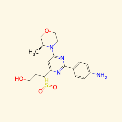 C[C@H]1COCCN1c1cc(C(CCO)[SH](=O)=O)nc(-c2ccc(N)cc2)n1